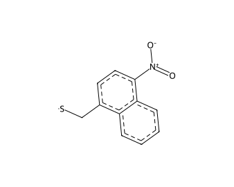 O=[N+]([O-])c1ccc(C[S])c2ccccc12